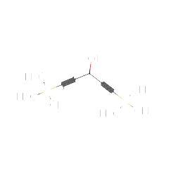 CS(C)(C)C#CC(O)C#CS(C)(C)C